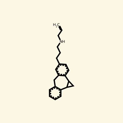 C=CCNCCCc1ccc2c(c1)Cc1ccccc1C1CC21